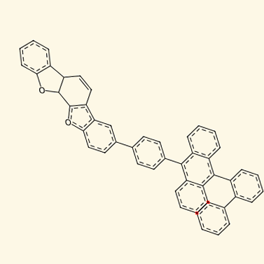 C1=CC2c3ccccc3OC2c2oc3ccc(-c4ccc(-c5c6ccccc6c(-c6ccccc6-c6ccccc6)c6ccccc56)cc4)cc3c21